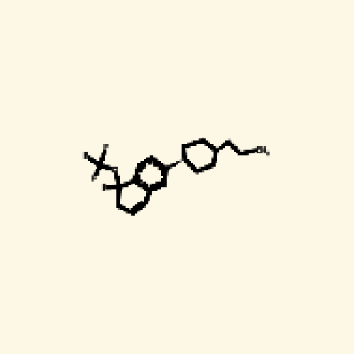 CCC[C@H]1CC[C@H](c2ccc3c(c2)C=CCC3(F)OC(F)(F)F)CC1